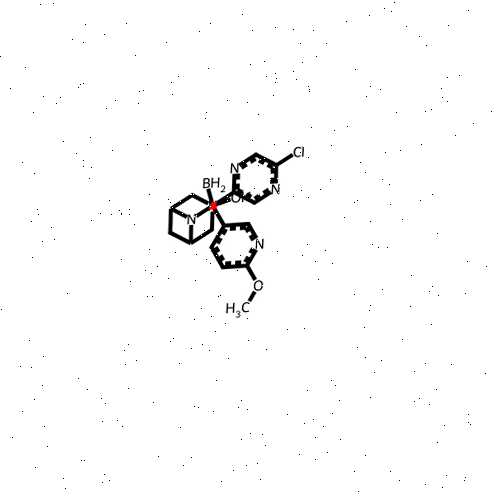 BC(O)(c1ccc(OC)nc1)N1C2CC1CN(c1cnc(Cl)cn1)C2